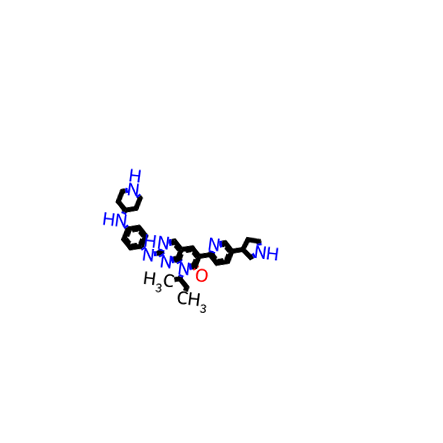 CCC(C)n1c(=O)c(-c2ccc(C3CCNC3)cn2)cc2cnc(Nc3ccc(NC4CCNCC4)cc3)nc21